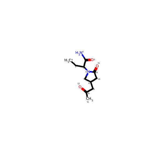 CCC(C(N)=O)N1CC(CC(C)=O)CC1=O